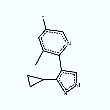 Cc1cc(F)cnc1-c1c[nH]nc1C1CC1